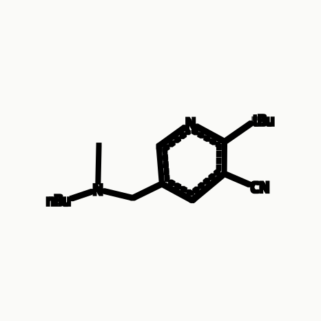 CCCCN(C)Cc1cnc(C(C)(C)C)c(C#N)c1